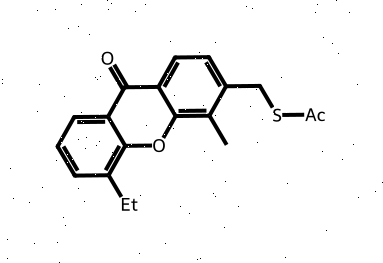 CCc1cccc2c(=O)c3ccc(CSC(C)=O)c(C)c3oc12